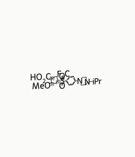 CO[C@H]1C[C@@H](S(=O)(=O)c2ccc(N3CCN(C(C)C)CC3)cc2C(F)(F)F)C[C@@H]1C(=O)O